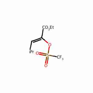 CCOC(=O)C(=CC(C)C)OS(=O)(=O)C(F)(F)F